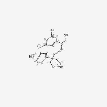 Cl.OCC(OCC1(c2ccccc2)CCNCC1)c1cc(F)cc(C(F)(F)F)c1